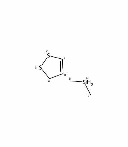 C1=CSSC1.C[SiH2]C